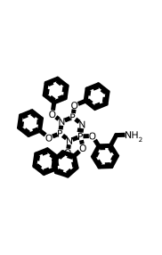 NCc1ccccc1OP1(Oc2ccccc2)=NP(Oc2ccccc2)N(Oc2ccccc2)P(Oc2ccccc2)N1Oc1ccccc1